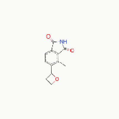 Cc1c(C2CCO2)ccc2c1C(=O)NC2=O